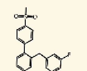 CS(=O)(=O)c1ccc(-c2ccccc2Cc2cccc(F)c2)cc1